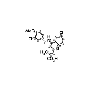 COc1ccc(CNc2nc(C=C(C)C(=O)O)nc3ccc(Cl)cc23)cc1Cl